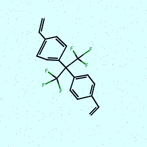 C=Cc1ccc(C(c2ccc(C=C)cc2)(C(F)(F)F)C(F)(F)F)cc1